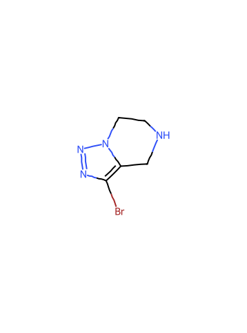 Brc1nnn2c1CNCC2